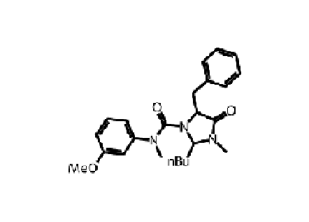 CCCCC1N(C)C(=O)C(Cc2ccccc2)N1C(=O)N(C)c1cccc(OC)c1